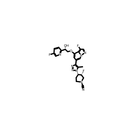 Cc1c(-c2cc(OC[C@@H](O)c3ccc(F)cn3)c3c(F)cnn3c2)nnn1[C@H]1CCN(C#N)C[C@H]1F